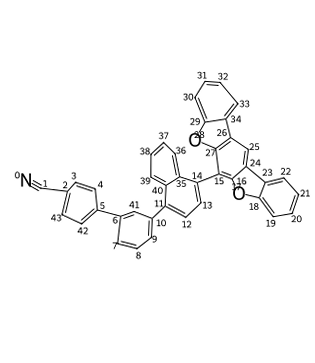 N#Cc1ccc(-c2cccc(-c3ccc(-c4c5oc6ccccc6c5cc5c4oc4ccccc45)c4ccccc34)c2)cc1